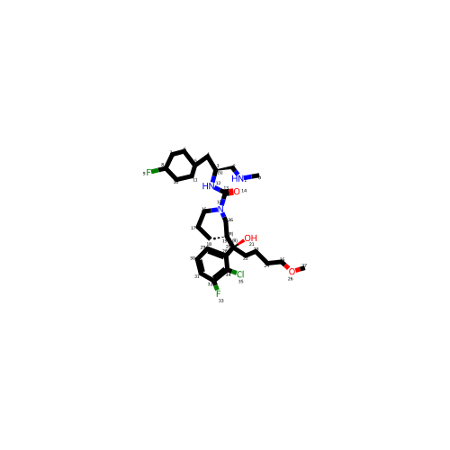 CNC[C@H](CC1CCC(F)CC1)NC(=O)N1CCC[C@@H]([C@](O)(CCCCOC)c2cccc(F)c2Cl)C1